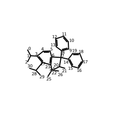 CC(C)c1ccc(C(c2ccccc2)(c2ccccc2)C(C)C)c(C(C)C)c1C(C)C